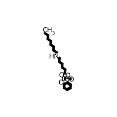 CCCCCCCCCNCCCCCC(=O)OS(=O)(=O)C1=CC=CCC1=O